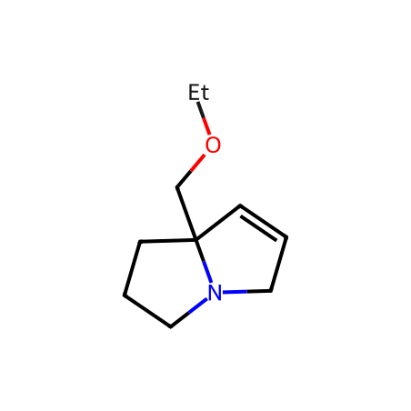 CCOCC12C=CCN1CCC2